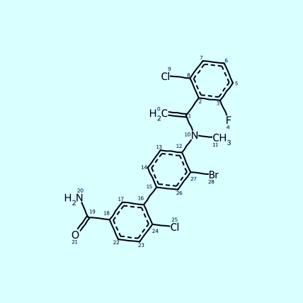 C=C(c1c(F)cccc1Cl)N(C)c1ccc(-c2cc(C(N)=O)ccc2Cl)cc1Br